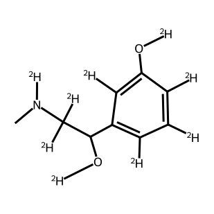 [2H]Oc1c([2H])c([2H])c([2H])c(C(O[2H])C([2H])([2H])N([2H])C)c1[2H]